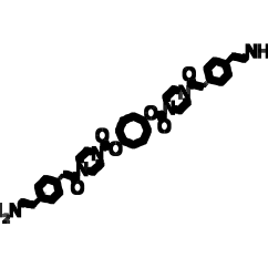 NCC[C@H]1CC[C@H](CC(=O)N2CCN(C(=O)O[C@H]3CCC[C@@H](OC(=O)N4CCN(C(=O)C[C@H]5CC[C@H](CCN)CC5)CC4)CCC3)CC2)CC1